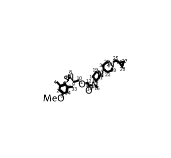 COc1cc(C)c(SN(C)CCOCC(=O)N(C)[C@H]2CCN(C3CCN(CC4CC4)CC3)C2)c(C)c1